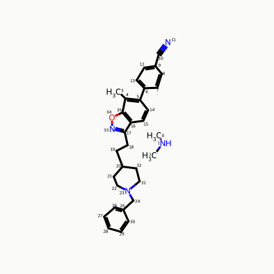 CNC.Cc1c(-c2ccc(C#N)cc2)ccc2c(CCC3CCN(Cc4ccccc4)CC3)noc12